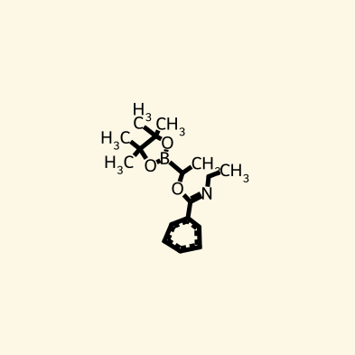 CC/N=C(\OC(C)B1OC(C)(C)C(C)(C)O1)c1ccccc1